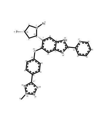 CC(=O)N1C[C@@H](F)C[C@H]1c1cc2[nH]c(-c3ccccn3)nc2cc1Oc1ccc(-c2nnn(C)n2)cc1